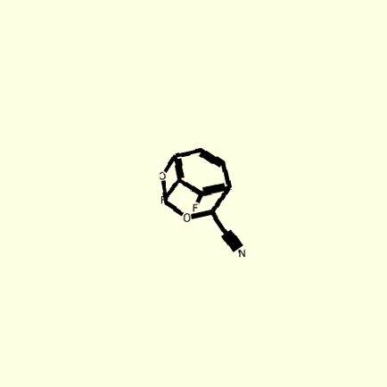 N#CC1OCOc2ccc1c(F)c2F